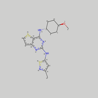 CO[C@H]1CC[C@H](Nc2nc(Nc3cc(C)ns3)nc3ccsc23)CC1